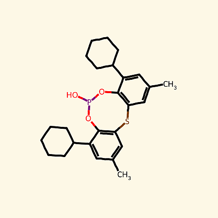 Cc1cc2c(c(C3CCCCC3)c1)OP(O)Oc1c(cc(C)cc1C1CCCCC1)S2